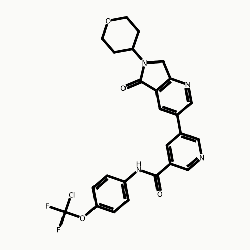 O=C(Nc1ccc(OC(F)(F)Cl)cc1)c1cncc(-c2cnc3c(c2)C(=O)N(C2CCOCC2)C3)c1